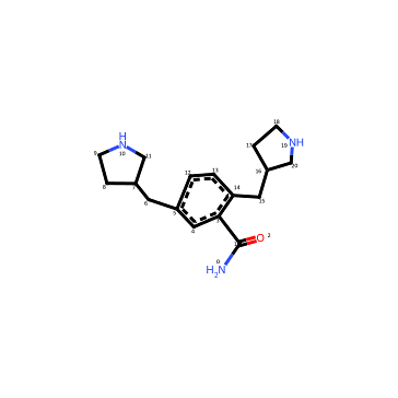 NC(=O)c1cc(CC2CCNC2)ccc1CC1CCNC1